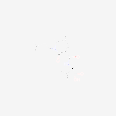 Cc1cc(C(=O)NC(C)(C(=O)O)C(C)C)c(=O)n(CCC(C)C)c1C